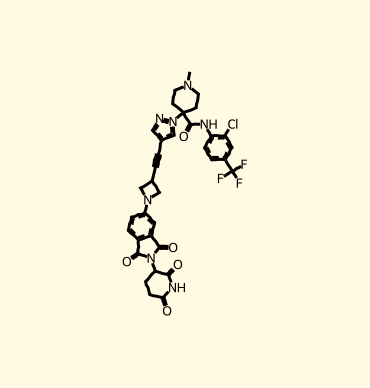 CN1CCC(C(=O)Nc2ccc(C(F)(F)F)cc2Cl)(n2cc(C#CC3CN(c4ccc5c(c4)C(=O)N(C4CCC(=O)NC4=O)C5=O)C3)cn2)CC1